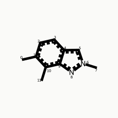 Cc1ccc2cn(C)nc2c1C